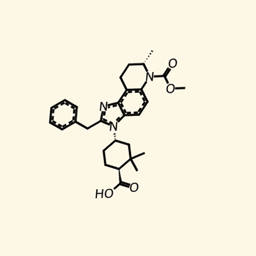 COC(=O)N1c2ccc3c(nc(Cc4ccccc4)n3[C@H]3CC[C@H](C(=O)O)C(C)(C)C3)c2CC[C@@H]1C